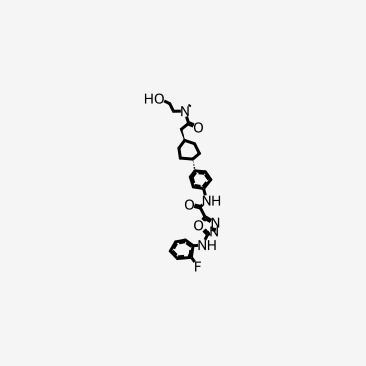 CN(CCO)C(=O)C[C@H]1CC[C@H](c2ccc(NC(=O)c3nnc(Nc4ccccc4F)o3)cc2)CC1